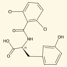 O=C(N[C@@H](Cc1cccc(O)c1)C(=O)O)c1c(Cl)cccc1Cl